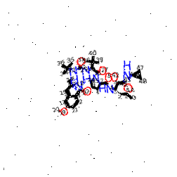 CCC[C@H](NC(=O)C1C[C@@H](Oc2nc(C)cc3cc(OC)ccc23)CN1C(=O)C(NC(=O)NC(C)(C)C)C(C)(C)C)C(=O)C(=O)NC1CC1